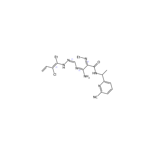 C=C/C(Cl)=C(\CC)N\N=C/N=C(N)\C(=N/CC)C(=O)NC(C)c1cccc(C#N)n1